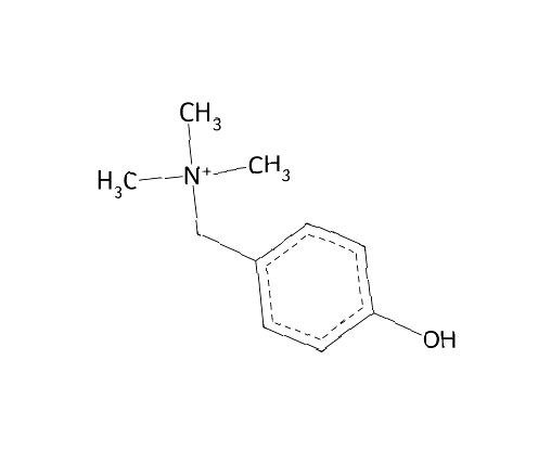 C[N+](C)(C)Cc1ccc(O)cc1